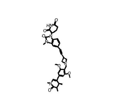 COc1cc(C2=CN(C)C(=O)C(C)C2C)cc(OC)c1CN1CC(C#Cc2ccc3c(c2)n(C)c(=O)n3C2CCC(=O)NC2=O)C1